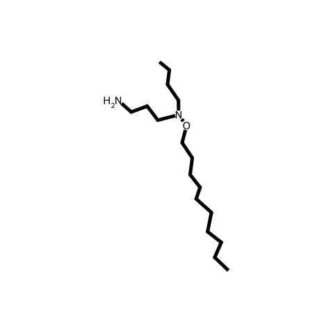 CCCCCCCCCCON(CCCC)CCCN